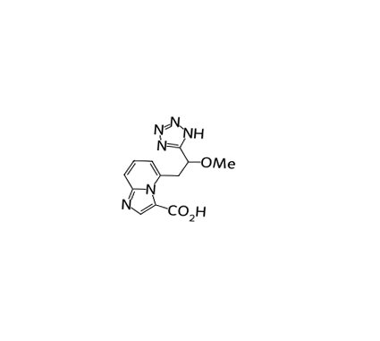 COC(Cc1cccc2ncc(C(=O)O)n12)c1nnn[nH]1